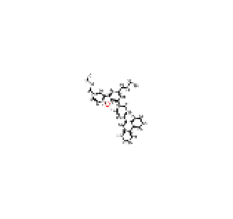 CCCCc1ccc2oc3c(-c4ccc(-c5cc6ccccc6c6ccccc56)cc4)cc(CCCC)cc3c2c1